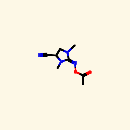 CC(=O)ON=C1N(C)CC(C#N)N1C